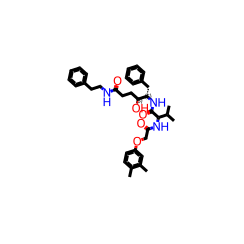 Cc1ccc(OCC(=O)NC(C(=O)N[C@@H](Cc2ccccc2)[C@@H](O)CCC(=O)NCCc2ccccc2)C(C)C)cc1C